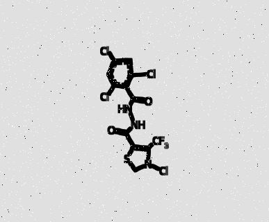 O=C(NNC(=O)c1c(Cl)cc(Cl)cc1Cl)C1=C(C(F)(F)F)N(Cl)CS1